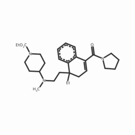 CCOC(=O)N1CCC(N(C)CCC2(CC)CC=C(C(=O)N3CCCC3)c3ccccc32)CC1